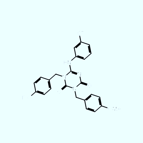 COc1ccc(Cn2c(=O)nc(Nc3cccc(C(F)(F)F)c3)n(Cc3ccc(C(F)(F)F)cc3)c2=O)cc1